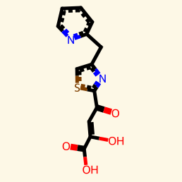 O=C(O)C(O)=CC(=O)c1nc(Cc2ccccn2)cs1